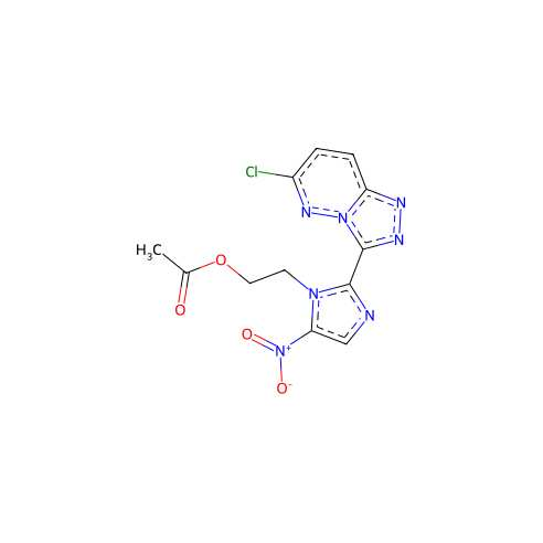 CC(=O)OCCn1c([N+](=O)[O-])cnc1-c1nnc2ccc(Cl)nn12